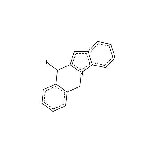 IC1c2ccccc2Cn2c1cc1ccccc12